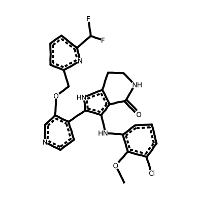 COc1c(Cl)cccc1Nc1c(-c2ccncc2OCc2cccc(C(F)F)n2)[nH]c2c1C(=O)NCC2